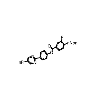 CCCCCCCCCc1ccc(C(=O)Oc2ccc(-c3ncc(CCC)cn3)cc2)cc1F